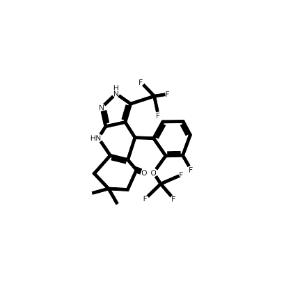 CC1(C)CC(=O)C2=C(C1)Nc1n[nH]c(C(F)(F)F)c1C2c1cccc(F)c1OC(F)(F)F